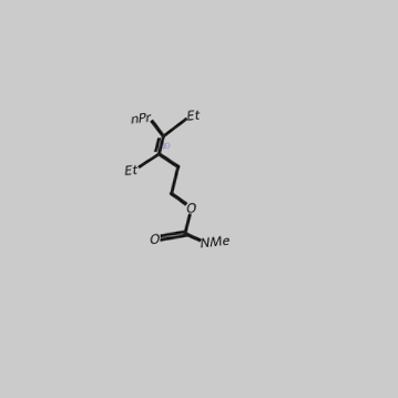 CCC/C(CC)=C(\CC)CCOC(=O)NC